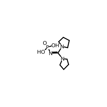 O=P(O)(O)N=C(N1CCCC1)N1CCCC1